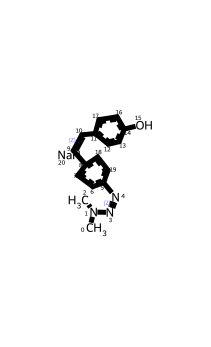 CN(C)/N=N\c1ccc(/C=C\c2ccc(O)cc2)cc1.[NaH]